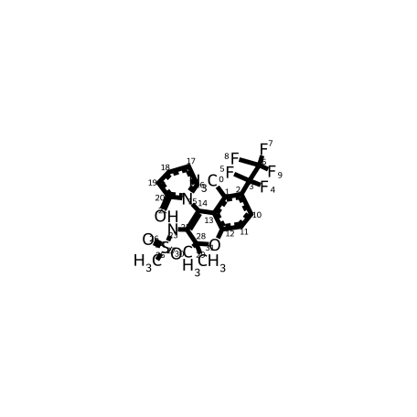 Cc1c(C(F)(F)C(F)(F)F)ccc2c1C(n1ccccc1=O)=C(NS(C)(=O)=O)C(C)(C)O2